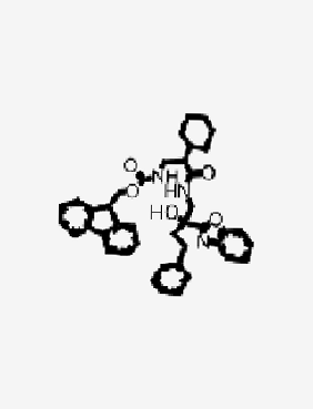 O=C(NCC(C(=O)NCC(O)(CCc1ccccc1)c1nc2ccccc2o1)C1CCCCC1)OCC1c2ccccc2-c2ccccc21